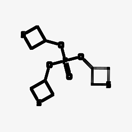 O=P(OC1CSC1)(OC1CSC1)OC1CSC1